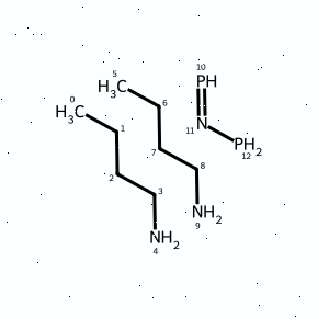 CCCCN.CCCCN.P=NP